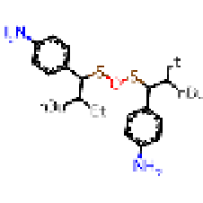 CCCCC(CC)C(SOSC(c1ccc(N)cc1)C(CC)CCCC)c1ccc(N)cc1